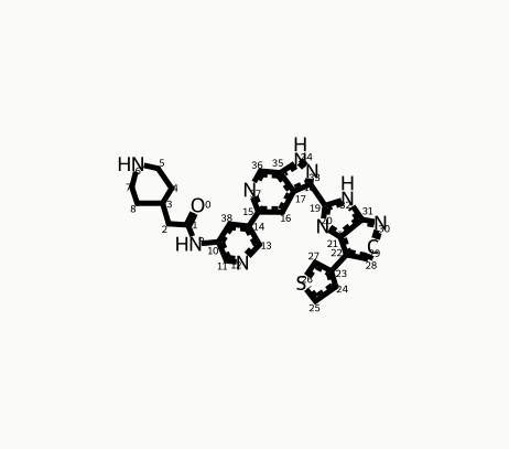 O=C(CC1CCNCC1)Nc1cncc(-c2cc3c(-c4nc5c(-c6ccsc6)ccnc5[nH]4)n[nH]c3cn2)c1